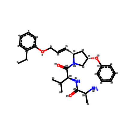 CCc1ccccc1OCC=C[C@@H]1C[C@H](Oc2ccccc2)CN1C(=O)[C@@H](NC(=O)[C@H](C)N)C(C)C